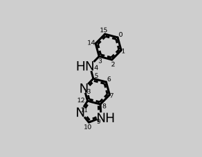 c1ccc(Nc2ccc3[nH]cnc3n2)cc1